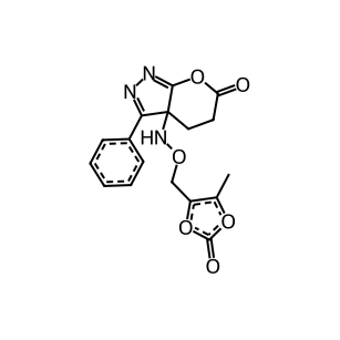 Cc1oc(=O)oc1CONC12CCC(=O)OC1=NN=C2c1ccccc1